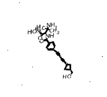 CC(C)(N)[C@H](NC(=O)c1ccc(C#CC#CC2CC(CO)C2)cc1)C(=O)NO